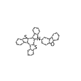 c1ccc2c(c1)oc1ccc(-n3c4ccccc4c4c5sc6ccccc6c5c5c6ccccc6sc5c43)cc12